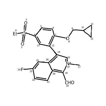 CCS(=O)(=O)c1ccc(OCC2CC2)c(-c2c[n+](C)c(C=O)c3ccc(F)cc23)c1